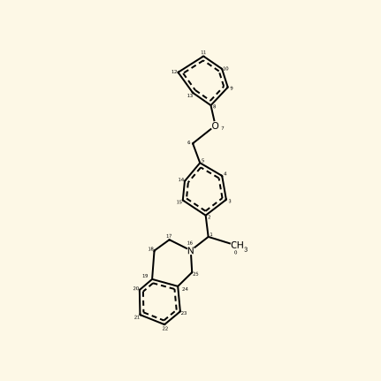 CC(c1ccc(COc2ccccc2)cc1)N1CCc2ccccc2C1